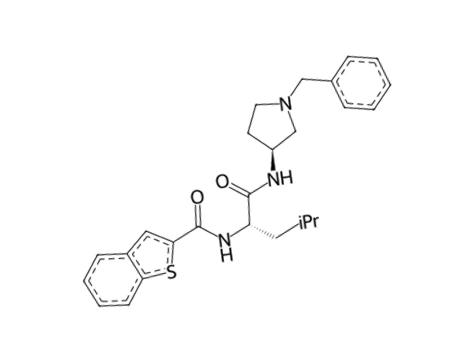 CC(C)C[C@H](NC(=O)c1cc2ccccc2s1)C(=O)N[C@H]1CCN(Cc2ccccc2)C1